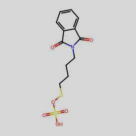 O=C1c2ccccc2C(=O)N1CCCCSOS(=O)(=O)O